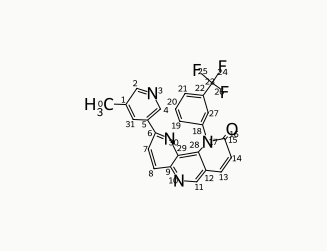 Cc1cncc(-c2ccc3ncc4ccc(=O)n(-c5cccc(C(F)(F)F)c5)c4c3n2)c1